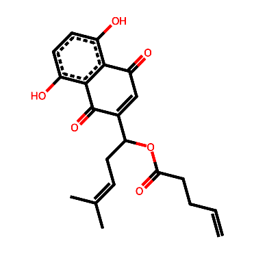 C=CCCC(=O)OC(CC=C(C)C)C1=CC(=O)c2c(O)ccc(O)c2C1=O